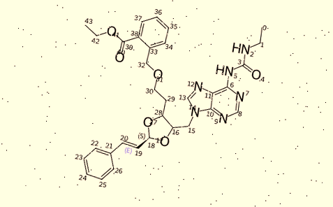 CCNC(=O)Nc1ncnc2c1ncn2CC1O[C@@H](/C=C/c2ccccc2)OC1CCOCc1ccccc1C(=O)OCC